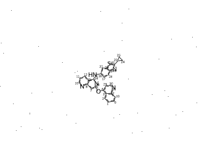 c1ccc2c(Oc3cc4ncccc4c(Nc4ccc5nc(C6CC6)sc5c4)n3)ccnc2c1